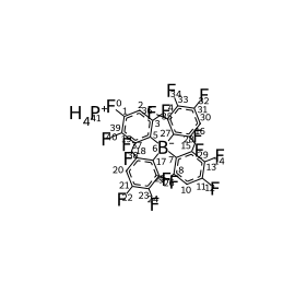 Fc1cc(F)c([B-](c2c(F)cc(F)c(F)c2F)(c2c(F)cc(F)c(F)c2F)c2c(F)cc(F)c(F)c2F)c(F)c1F.[PH4+]